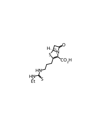 CCNC(=S)NCCCC1=C(C(=O)O)N2C(=O)C[C@@H]2S1